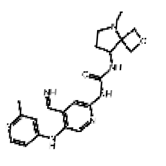 Cc1cc(Nc2cnc(NC(=O)NC3CCN(C)C34COC4)cc2C=N)ccn1